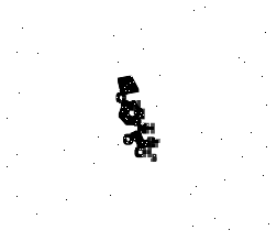 CC(Br)C(=O)Nc1ccc(OC2CCC2)nn1